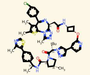 Cc1ncsc1-c1ccc([C@H](C)NC(=O)[C@@H]2C[C@@H](C)CN2C(=O)[C@@H](n2cc(-c3ccnc(O[C@H]4C[C@@H](NC(=O)C[C@@H]5N=C(c6ccc(Cl)cc6)c6c(sc(C)c6C)-n6c(C)nnc65)C4)c3)cn2)C(C)(C)C)cc1